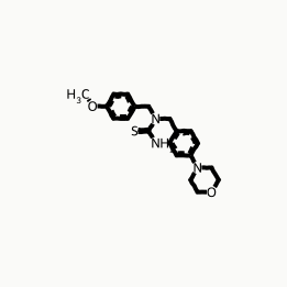 COc1ccc(CN(Cc2ccc(N3CCOCC3)cc2)C(N)=S)cc1